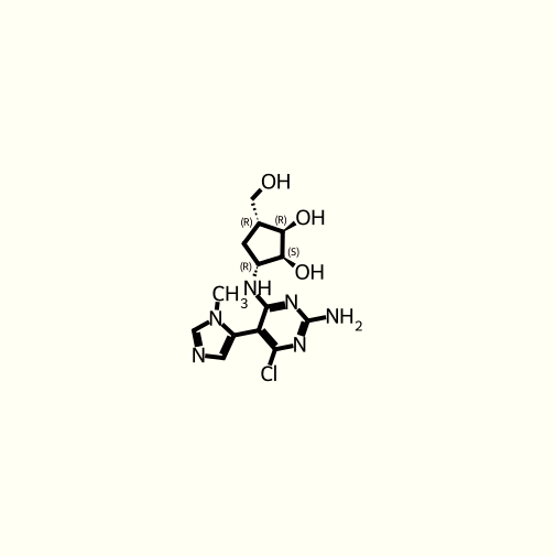 Cn1cncc1-c1c(Cl)nc(N)nc1N[C@@H]1C[C@H](CO)[C@@H](O)[C@H]1O